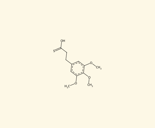 COc1cc(CCC(O)=S)cc(OC)c1OC